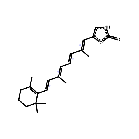 CC1=C(/C=C/C(C)=C/C=C/C(C)=C/c2c[nH]c(=O)o2)C(C)(C)CCC1